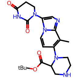 Cc1c(N2CCNCC2C(=O)OC(C)(C)C)ccn2c(N3CCC(=O)NC3=O)cnc12